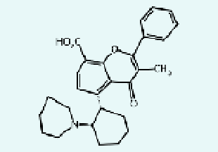 Cc1c(-c2ccccc2)oc2c(C(=O)O)ccc([C@@H]3CCCC[C@H]3N3CCCCC3)c2c1=O